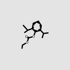 C[CH]OC(=O)Oc1c(C(C)C)cccc1C(C)C